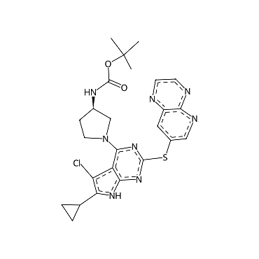 CC(C)(C)OC(=O)N[C@@H]1CCN(c2nc(Sc3cnc4nccnc4c3)nc3[nH]c(C4CC4)c(Cl)c23)C1